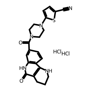 Cl.Cl.N#Cc1ccc(N2CCN(C(=O)c3ccc4c5c(c(=O)[nH]c4c3)CCCN5)CC2)s1